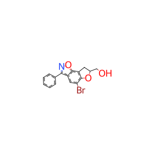 OCC1Cc2c(c(Br)cc3c(-c4ccccc4)noc23)O1